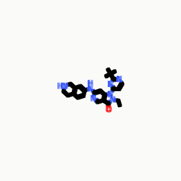 CCn1c(=O)c2cnc(Nc3ccc4c(c3)CNCC4)cc2n1-c1ccnc(C(C)(C)C)n1